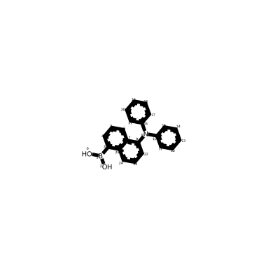 OB(O)c1cccc2c(N(c3ccccc3)c3ccccc3)cccc12